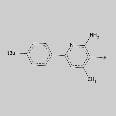 Cc1cc(-c2ccc(C(C)(C)C)cc2)nc(N)c1C(C)C